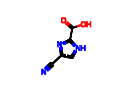 N#Cc1c[nH]c(C(=O)O)n1